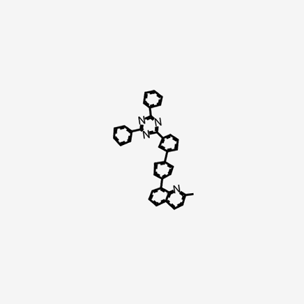 Cc1ccc2cccc(-c3ccc(-c4cccc(-c5nc(-c6ccccc6)nc(-c6ccccc6)n5)c4)cc3)c2n1